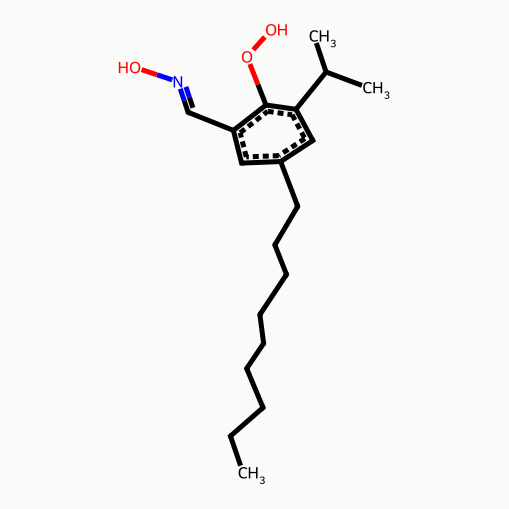 CCCCCCCCCc1cc(C=NO)c(OO)c(C(C)C)c1